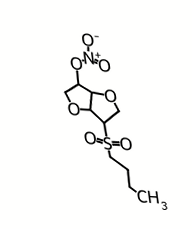 CCCCS(=O)(=O)C1COC2C(O[N+](=O)[O-])COC21